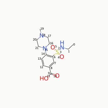 CCNS(=O)(=O)c1cc(C(=O)O)ccc1N1CCN(C)CC1